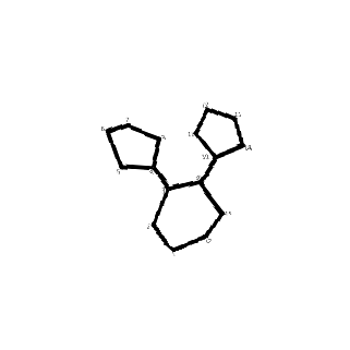 C1CCC(C2CCCC2)[C](C2CCCC2)C1